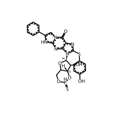 O=c1c2nc(Sc3ccc(O)cc3)n([C@@H]3OC4CO[PH](=S)O[C@H]4C3O)c2nc2[nH]c(-c3ccccc3)cn12